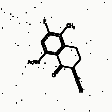 CC(=O)Nc1cc(F)c(C)c2c1C(=O)C(=[N+]=[N-])CC2